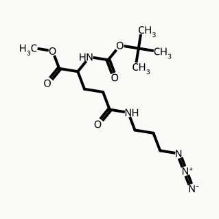 COC(=O)C(CCC(=O)NCCCN=[N+]=[N-])NC(=O)OC(C)(C)C